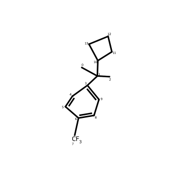 CC(C)(c1ccc(C(F)(F)F)cc1)C1CCC1